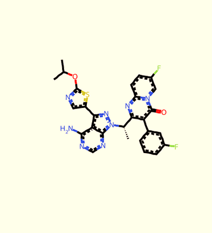 CC(C)Oc1ncc(-c2nn([C@@H](C)c3nc4ccc(F)cn4c(=O)c3-c3cccc(F)c3)c3ncnc(N)c23)s1